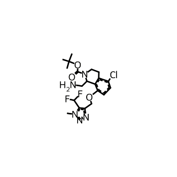 Cn1nnc(COc2ccc(Cl)c3c2C(CN)N(C(=O)OC(C)(C)C)CC3)c1C(F)F